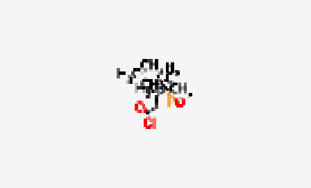 CC(C)(C)CC(C)(C)[C@](C)(CCC(=O)O)P=O